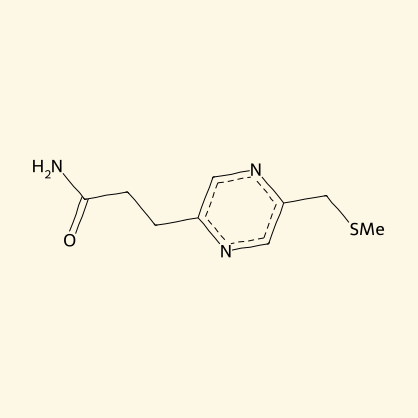 CSCc1cnc(CCC(N)=O)cn1